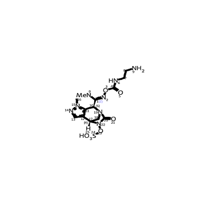 CN/C(=N\OC(=O)NCCN)[C@@H]1c2c(cnn2C)[C@@H]2CN1C(=O)N2OS(=O)(=O)O